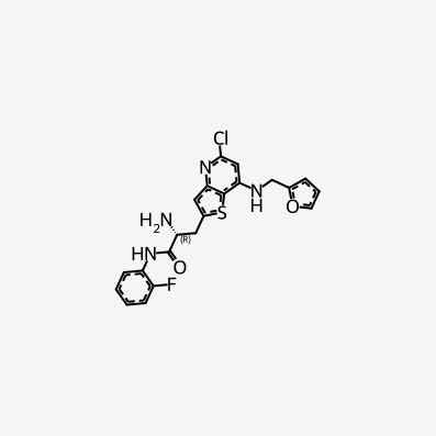 N[C@H](Cc1cc2nc(Cl)cc(NCc3ccco3)c2s1)C(=O)Nc1ccccc1F